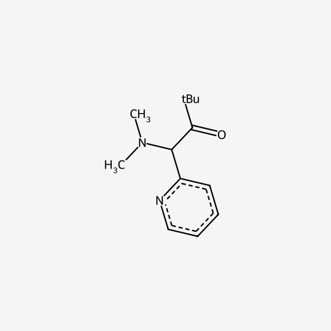 CN(C)C(C(=O)C(C)(C)C)c1ccccn1